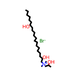 CCCCCCC(O)CCCCCCCCCCCCC(O)C[N+](C)(C)CC(C)O.[Br-]